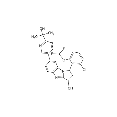 CC(C)(O)c1ncc(-c2ccc3nc4n(c3c2)C(c2c(Cl)cccc2OC(F)F)CC4O)cn1